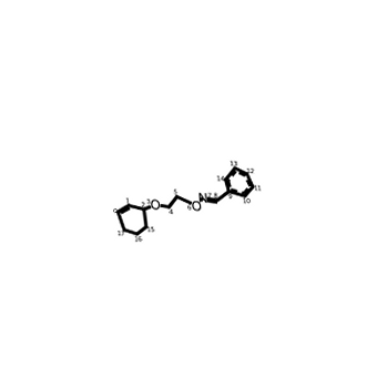 C1=CC(OCCO/N=C/c2ccccc2)CCC1